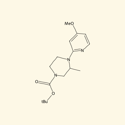 COc1ccnc(N2CCN(C(=O)OC(C)(C)C)CC2C)c1